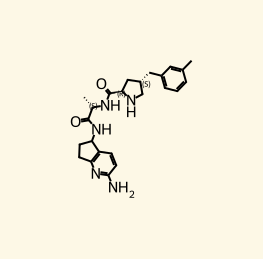 Cc1cccc(C[C@@H]2CN[C@@H](C(=O)N[C@@H](C)C(=O)NC3CCc4nc(N)ccc43)C2)c1